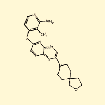 Cc1c(Sc2ccc3nc(N4CCC5(CCOC5)CC4)cnc3n2)ccnc1N